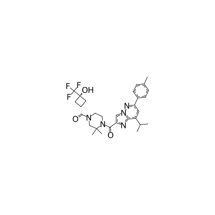 Cc1ccc(-c2cc(C(C)C)c3nc(C(=O)N4CCN(C(=O)[C@H]5C[C@@](O)(C(F)(F)F)C5)CC4(C)C)cn3n2)cc1